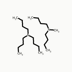 CCCCN(C)CCCC.CCCCN(CCCC)CCCC